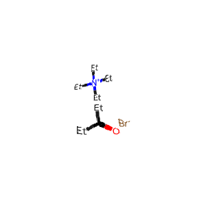 CCC(=O)CC.CC[N+](CC)(CC)CC.[Br-]